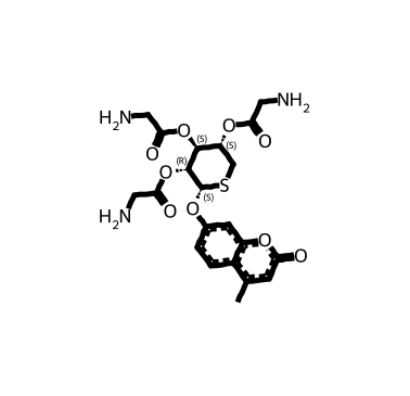 Cc1cc(=O)oc2cc(O[C@H]3SC[C@@H](OC(=O)CN)[C@H](OC(=O)CN)[C@H]3OC(=O)CN)ccc12